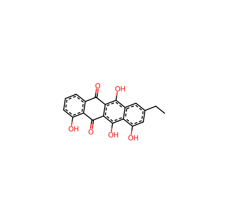 CCc1cc(O)c2c(O)c3c(c(O)c2c1)C(=O)c1cccc(O)c1C3=O